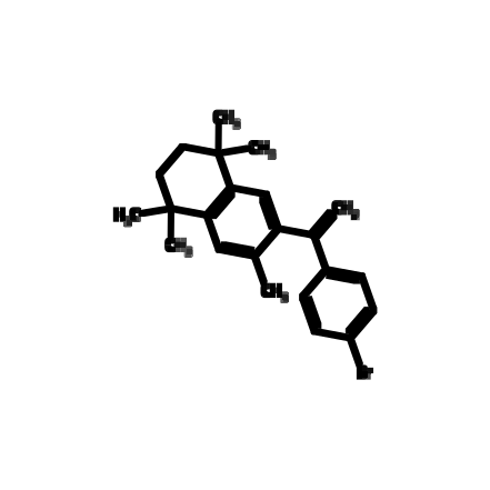 C=C(c1ccc(Br)cc1)c1cc2c(cc1C)C(C)(C)CCC2(C)C